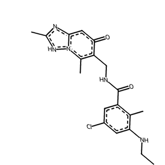 CCNc1cc(Cl)cc(C(=O)NCc2c(C)n3[nH]c(C)nc3cc2=O)c1C